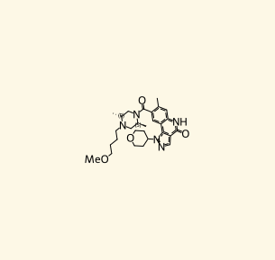 COCCCCN1C[C@H](C)N(C(=O)c2cc3c(cc2C)[nH]c(=O)c2cnn(C4CCOCC4)c23)C[C@H]1C